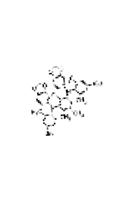 Cc1cc(N(c2ccc3c(c2)OCO3)c2c(C)cc(C(C)(C)C)cc2C)c(Cl)c(N(c2ccc3c(c2)OCO3)c2c(C)cc(C(C)(C)C)cc2C)c1